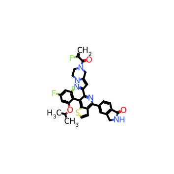 C=C(F)C(=O)N1CCn2nc(-c3nc(-c4ccc5c(c4)CNC5=O)c4ccsc4c3-c3c(F)cc(F)cc3OC(C)C)cc2C1